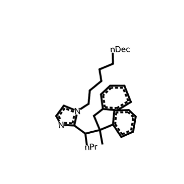 CCCCCCCCCCCCCCCn1ccnc1C(CCC)C(C)(Cc1ccccc1)c1ccccc1